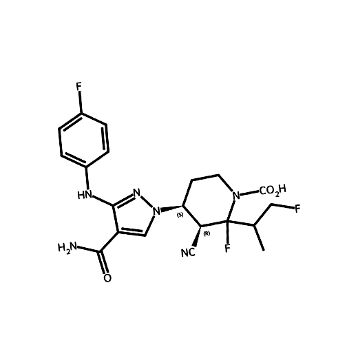 CC(CF)C1(F)[C@@H](C#N)[C@@H](n2cc(C(N)=O)c(Nc3ccc(F)cc3)n2)CCN1C(=O)O